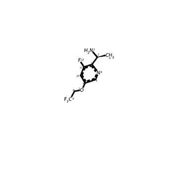 C[C@H](N)c1ncc(OCC(F)(F)F)cc1F